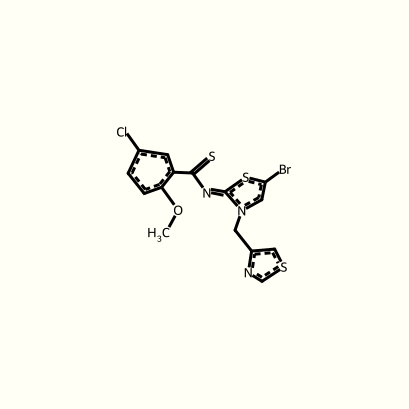 COc1ccc(Cl)cc1C(=S)/N=c1\sc(Br)cn1Cc1cscn1